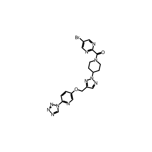 O=C(c1ncc(Br)cn1)N1CCC(n2ncc(COc3ccc(-n4cnnn4)nc3)n2)CC1